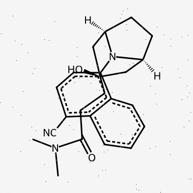 CN(C)C(=O)CC[C@]1(O)C[C@H]2CC[C@@H](C1)N2c1ccc(C#N)c2ccccc12